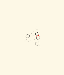 COc1ccc(B(OCCN(C)C)C(OC(B(OCCN(C)C)c2ccc(OC)cc2)c2ccccc2)c2ccccc2)cc1